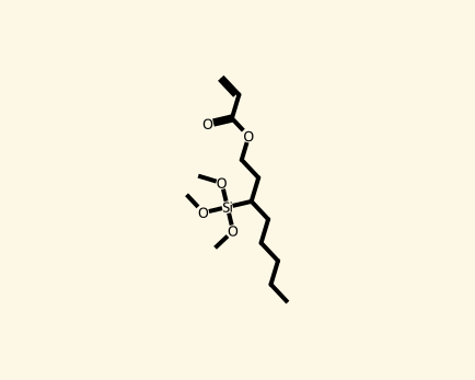 C=CC(=O)OCCC(CCCCC)[Si](OC)(OC)OC